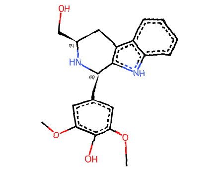 COc1cc([C@H]2N[C@@H](CO)Cc3c2[nH]c2ccccc32)cc(OC)c1O